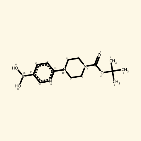 CC(C)(C)OC(=O)N1CCN(c2ccc(B(O)O)cn2)CC1